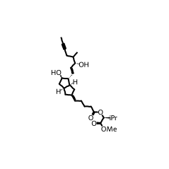 CC#CCC(C)[C@H](O)/C=C/[C@@H]1[C@H]2C/C(=C\CCCC(=O)O[C@H](C(=O)OC)C(C)C)C[C@H]2C[C@H]1O